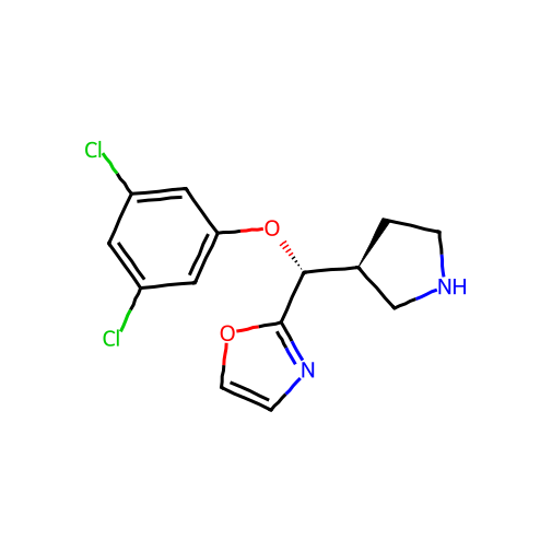 Clc1cc(Cl)cc(O[C@@H](c2ncco2)[C@H]2CCNC2)c1